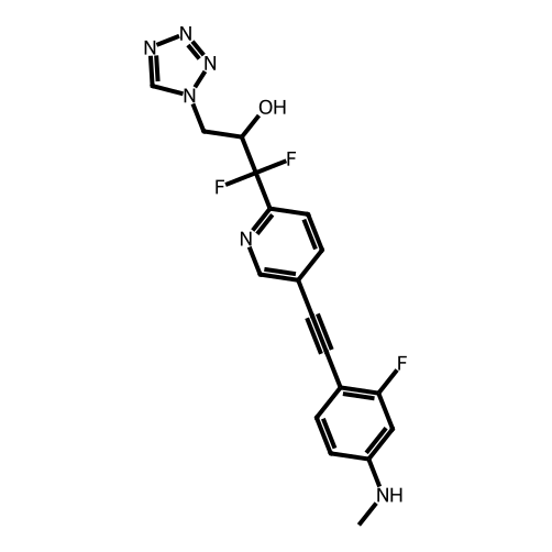 CNc1ccc(C#Cc2ccc(C(F)(F)C(O)Cn3cnnn3)nc2)c(F)c1